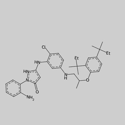 CCC(C)(C)c1ccc(OC(C)CNc2ccc(Cl)c(Nc3cc(=O)n(-c4ccccc4N)[nH]3)c2)c(C(C)(C)CC)c1